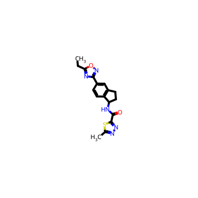 CCc1nc(-c2ccc3c(c2)CCC3NC(=O)c2nnc(C)s2)no1